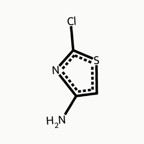 Nc1csc(Cl)n1